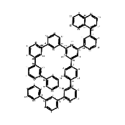 c1ccc(-c2cccc(-c3cccc(-c4ccc(-c5cc(-c6cccc(-c7cccc8ccccc78)c6)nc(-c6cccc(-c7cccc(-c8cccc(-c9ccccc9)c8)c7)c6)n5)cc4)c3)c2)cc1